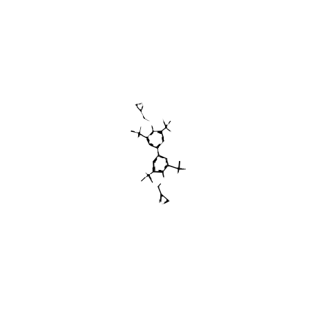 CCC(C)(C)c1cc(-c2cc(C(C)(C)CC)c(OCC3CO3)c(C(C)(C)CC)c2)cc(C(C)(C)CC)c1OCC1CO1